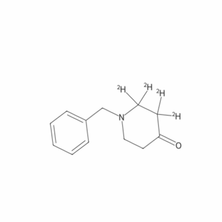 [2H]C1([2H])C(=O)CCN(Cc2ccccc2)C1([2H])[2H]